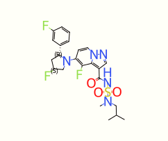 CC(C)CN(C)S(=O)(=O)NC(=O)c1cnn2ccc(N3C[C@@H](F)C[C@@H]3c3cccc(F)c3)c(F)c12